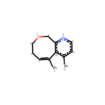 CC(C)/C1=C/CCOCc2nccc(C(C)C)c21